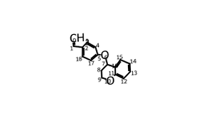 C=Cc1ccc(OC2CCOc3ccccc32)cc1